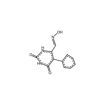 O=c1[nH]c(C=NO)c(-c2ccccc2)c(=O)[nH]1